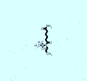 CCCN(C(=O)CCCCC(N)=O)[Si](C)(C)C